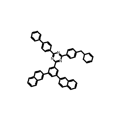 C1=CCC(Cc2ccc(-c3nc(-c4ccc(-c5ccccc5)cc4)nc(-c4cc(-c5ccc6ccccc6c5)cc(-c5ccc6ccccc6c5)c4)n3)cc2)C=C1